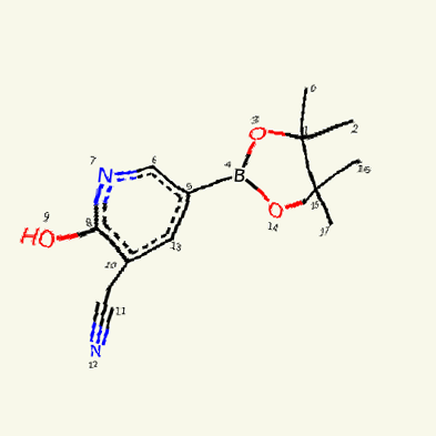 CC1(C)OB(c2cnc(O)c(C#N)c2)OC1(C)C